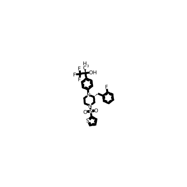 C[C@@](O)(c1ccc(N2CCN(S(=O)(=O)c3cccs3)C[C@H]2Cc2ccccc2F)cc1)C(F)(F)F